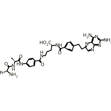 CC(C)[C@H](N)C(=O)N[C@@H](C)C(=O)Nc1ccc(C(=O)NCCC[C@H](NC(=O)c2ccc(CCc3cnc4nc(N)nc(N)c4n3)cc2)C(=O)O)cc1